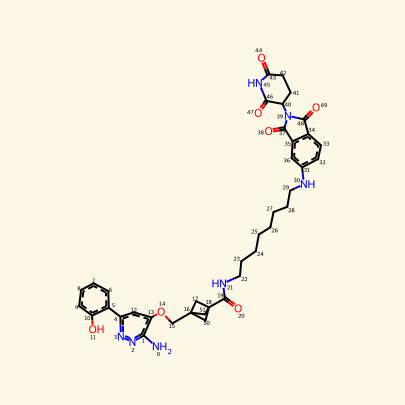 Nc1nnc(-c2ccccc2O)cc1OCC12CC(C(=O)NCCCCCCCCNc3ccc4c(c3)C(=O)N(C3CCC(=O)NC3=O)C4=O)(C1)C2